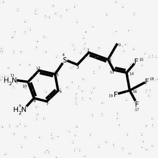 CC(=CCSc1ccc(N)c(N)c1)C=C(F)C(F)(F)F